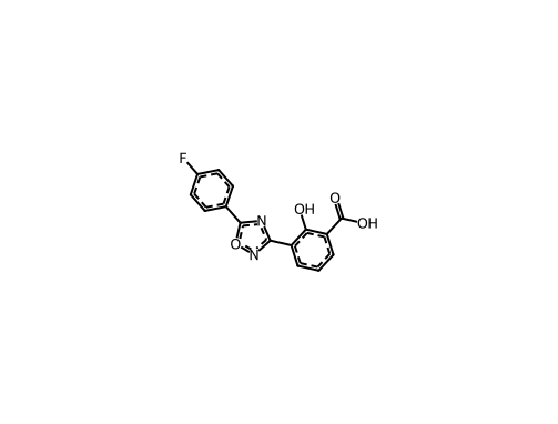 O=C(O)c1cccc(-c2noc(-c3ccc(F)cc3)n2)c1O